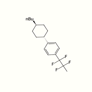 CCCC[C@H]1CC[C@H](c2ccc(C(F)(F)C(C)(F)F)cc2)CC1